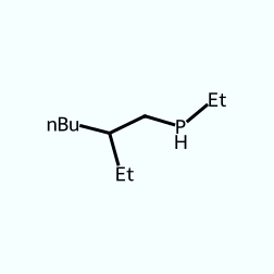 CCCCC(CC)CPCC